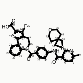 Cc1ccc(C(=O)Nc2ccc(C(=O)N3CCc4c(sc(C(=O)O)c4F)-c4ccccc43)cc2)c(N2CC3(CCOCC3)C2)n1